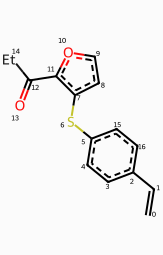 C=Cc1ccc(Sc2ccoc2C(=O)CC)cc1